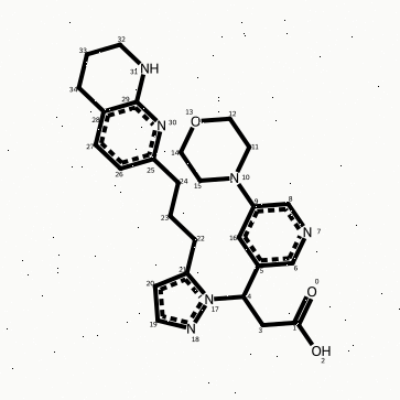 O=C(O)CC(c1cncc(N2CCOCC2)c1)n1nccc1CCCc1ccc2c(n1)NCCC2